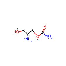 NC(=O)OCC(N)CO